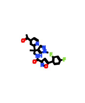 CC(=O)c1ccnc(C(C)(CNC(=O)c2cc(-c3ccc(F)cc3F)on2)c2cnn(C)c2)c1